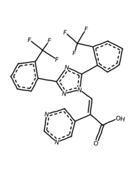 O=C(O)/C(=C/n1nc(-c2ccccc2C(F)(F)F)nc1-c1ccccc1C(F)(F)F)c1cncnc1